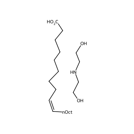 CCCCCCCC/C=C\CCCCCCCC(=O)O.OCCNCCO